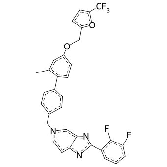 Cc1cc(OCc2ccc(C(F)(F)F)o2)ccc1-c1ccc(Cn2ccc3nc(-c4cccc(F)c4F)nc-3c2)cc1